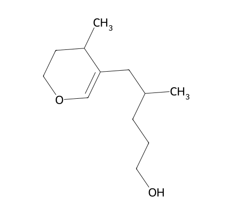 CC(CCCO)CC1=COCCC1C